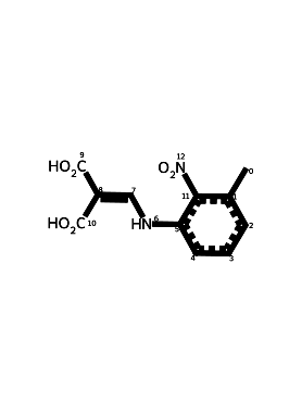 Cc1cccc(NC=C(C(=O)O)C(=O)O)c1[N+](=O)[O-]